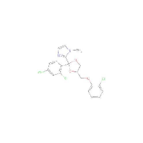 Cn1ccnc1C1(c2ccc(Cl)cc2Cl)OCC(COc2ccccc2Cl)O1